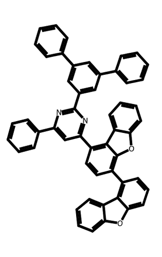 c1ccc(-c2cc(-c3ccccc3)cc(-c3nc(-c4ccccc4)cc(-c4ccc(-c5cccc6oc7ccccc7c56)c5oc6ccccc6c45)n3)c2)cc1